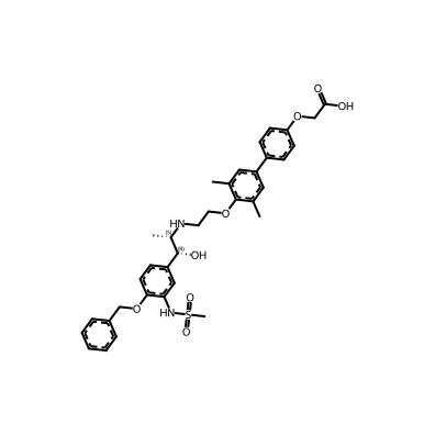 Cc1cc(-c2ccc(OCC(=O)O)cc2)cc(C)c1OCCN[C@@H](C)[C@H](O)c1ccc(OCc2ccccc2)c(NS(C)(=O)=O)c1